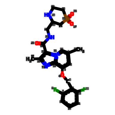 Cc1cc(OCc2c(F)cccc2F)c2nc(C)c(C(=O)NCC3CS(=O)(=O)CCN3)n2c1